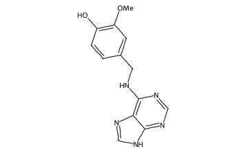 COc1cc(CNc2ncnc3[nH]cnc23)ccc1O